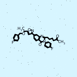 CC(=O)CCCCc1nc2cc(-c3cc([C@@H](C)OCc4ccc(F)cc4)on3)ccc2c(=O)n1-c1ccc(F)cc1